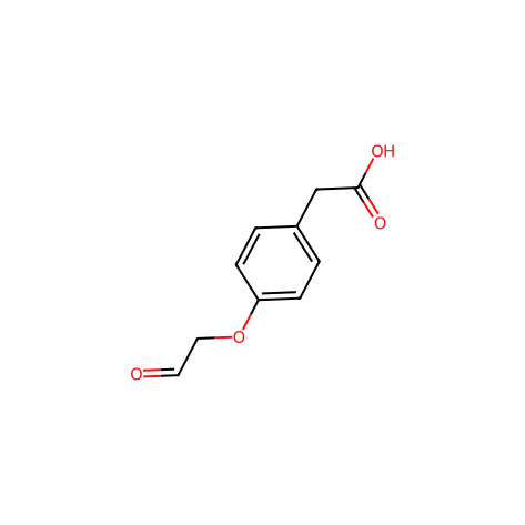 O=CCOc1ccc(CC(=O)O)cc1